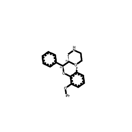 CC(C)Oc1cccc(F)c1O[C@@H](c1ccccc1)[C@@H]1CNCCO1